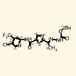 CC(=NNC(=O)OC(C)(C)C)c1ncc(C(=O)Nc2cc(C(F)(F)F)c(Cl)cn2)s1